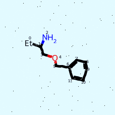 CCC(N)COCc1ccccc1